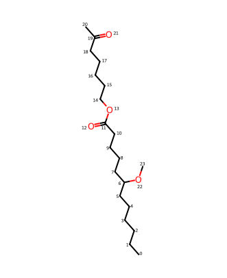 CCCCCCC(CCCCC(=O)OCCCCCC(C)=O)OC